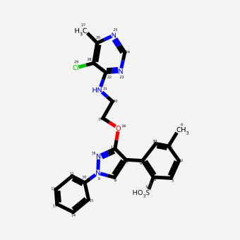 Cc1ccc(S(=O)(=O)O)c(-c2cn(-c3ccccc3)nc2OCCNc2ncnc(C)c2Cl)c1